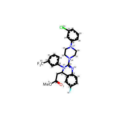 COC(=O)CC1c2cc(F)ccc2N=C(N2CCN(c3cccc(Cl)c3)CC2)N1c1cccc(C(F)(F)F)c1